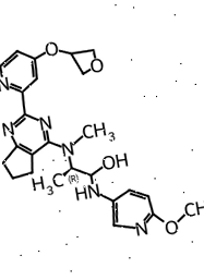 COc1ccc(NC(O)[C@@H](C)N(C)c2nc(-c3cc(OC4COC4)ccn3)nc3c2CCC3)cn1